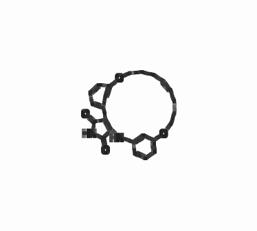 O=C1NC(=O)C2=C1Nc1cccc(c1)OCCC/C=C\CCCOc1cccc2c1